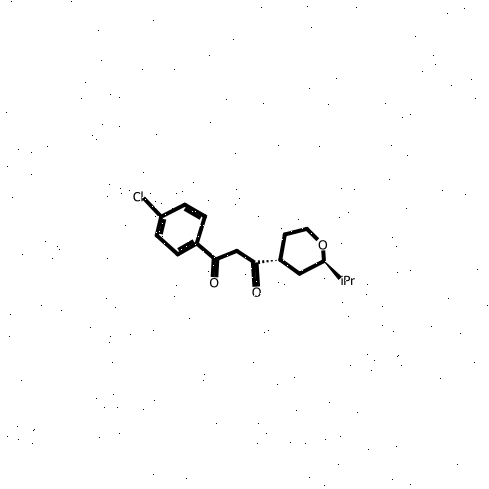 CC(C)[C@H]1C[C@H](C(=O)CC(=O)c2ccc(Cl)cc2)CCO1